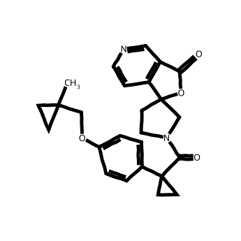 CC1(COc2ccc(C3(C(=O)N4CCC5(C4)OC(=O)c4cnccc45)CC3)cc2)CC1